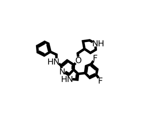 Fc1cc(F)cc(-c2c[nH]c3nc(NCc4ccccc4)cc(OCC4CCNCC4)c23)c1